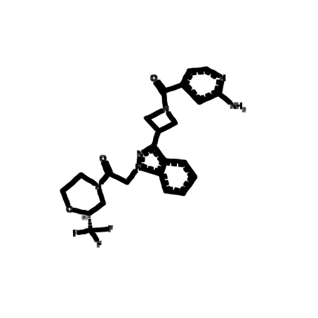 Nc1cc(C(=O)N2CC(c3nn(CC(=O)N4CCO[C@@H](C(F)(F)F)C4)c4ccccc34)C2)ccn1